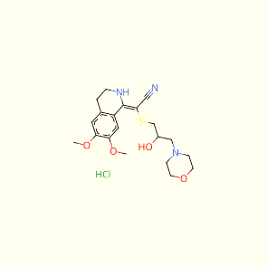 COc1cc2c(cc1OC)C(=C(C#N)SCC(O)CN1CCOCC1)NCC2.Cl